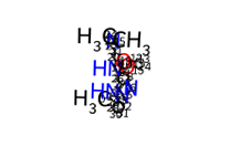 C[C@@H](Nc1ncnc2cc(OC3CCCC3)c(NC(=O)/C=C/CN(C)C)cc12)c1ccccc1